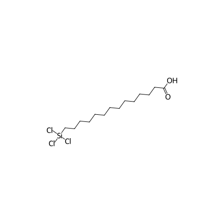 O=C(O)CCCCCCCCCCCCC[Si](Cl)(Cl)Cl